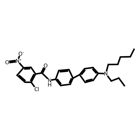 CCCCCN(CCC)c1ccc(-c2ccc(NC(=O)c3cc([N+](=O)[O-])ccc3Cl)cc2)cc1